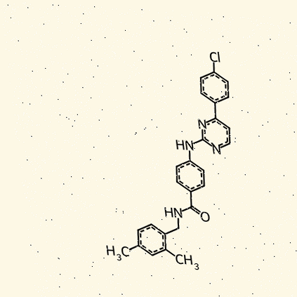 Cc1ccc(CNC(=O)c2ccc(Nc3nccc(-c4ccc(Cl)cc4)n3)cc2)c(C)c1